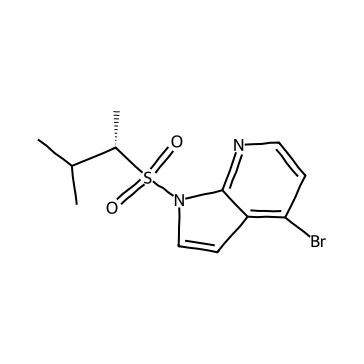 CC(C)[C@H](C)S(=O)(=O)n1ccc2c(Br)ccnc21